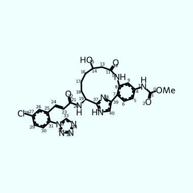 COC(=O)Nc1ccc2c(c1)NC(=O)CC(O)CCC[C@H](NC(=O)/C=C/c1cc(Cl)ccc1-n1cnnn1)c1nc-2c[nH]1